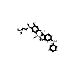 COc1cc(N(C)CCN(C)C)c(C)cc1Nc1n[nH]c2cc(Nc3ccccc3)ccc12